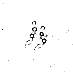 CC(C)(C)OC(=O)N1CCN(Cc2ccc3c(c2)C(C)(C)c2ccc(N4CCCCC4)cc2N3C(=O)OC(C)(C)C)CC1.CC(C)(C)OC(=O)N1CCN(Cc2ccc3c(c2C(C)(C)C)C(C)(C)c2ccc(N4CCCCC4)cc2N3C(=O)O)CC1